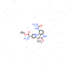 C/C(=C1\C(=O)Nc2ccc(NC(N)=O)cc21)c1cc(C(N)C(=O)OC(C)(C)C)c[nH]1